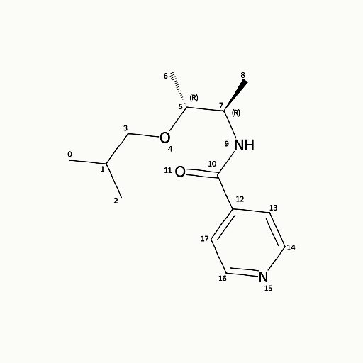 CC(C)CO[C@H](C)[C@@H](C)NC(=O)c1ccncc1